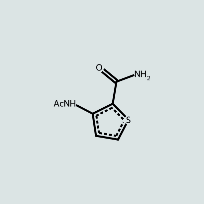 CC(=O)Nc1ccsc1C(N)=O